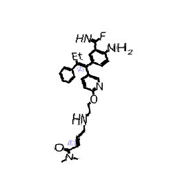 CC/C(=C(/c1ccc(OCCNC/C=C/C(=O)N(C)C)nc1)c1ccc(N)c(C(=N)F)c1)c1ccccc1